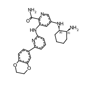 NC(=O)c1ncc(N[C@@H]2CCCC[C@@H]2N)cc1Nc1cccc(-c2ccc3c(c2)OCCO3)n1